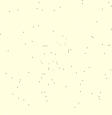 C=CCc1c(O)c2c(c(C)c1CC)COC2=O.CCCCCc1c(O)c(C(=O)OC)c(C(=O)OC)c(C)c1CC